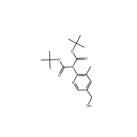 Cc1cc(CO)cnc1N(C(=O)OC(C)(C)C)C(=O)OC(C)(C)C